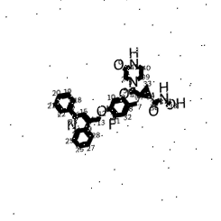 O=C1CN(C(=O)[C@@]2(Cc3ccc(OCc4cc(-c5ccccc5)nc5ccccc45)c(F)c3)C[C@@H]2C(=O)NO)CCN1